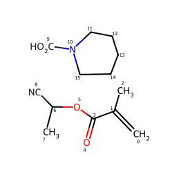 C=C(C)C(=O)OC(C)C#N.O=C(O)N1CCCCC1